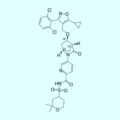 CC1(C)CC(S(=O)(=O)NC(=O)c2ccc(N3C(=O)[C@@H]4C[C@H]3C[C@H]4OCc3c(-c4c(Cl)cccc4Cl)noc3C3CC3)cn2)CCO1